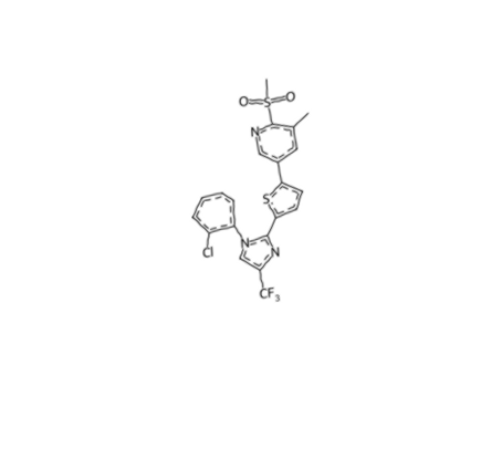 Cc1cc(-c2ccc(-c3nc(C(F)(F)F)cn3-c3ccccc3Cl)s2)cnc1S(C)(=O)=O